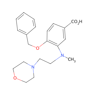 CN(CCN1CCOCC1)c1cc(C(=O)O)ccc1OCc1ccccc1